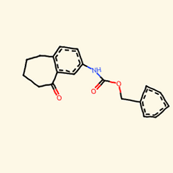 O=C(Nc1ccc2c(c1)C(=O)CCCC2)OCc1ccccc1